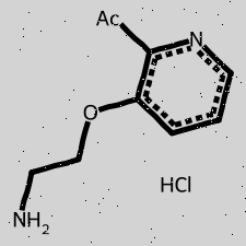 CC(=O)c1ncccc1OCCN.Cl